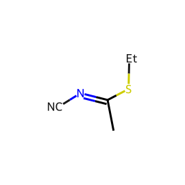 CCSC(C)=NC#N